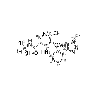 [2H]C([2H])([2H])NC(=O)c1nnc(Cl)cc1Nc1cccc(-c2cn(C(C)C)nn2)c1OC